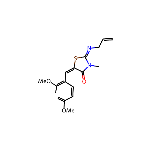 C=CC/N=C1/S/C(=C/C(/C=C\C(=C)OC)=C(/C)OC)C(=O)N1C